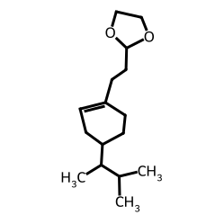 CC(C)C(C)C1CC=C(CCC2OCCO2)CC1